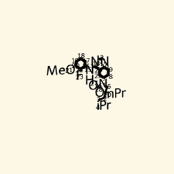 CCCC1(CCC(C)C)CN(c2ccc3ncnc(Nc4cccc(OC)c4F)c3c2)C(=O)O1